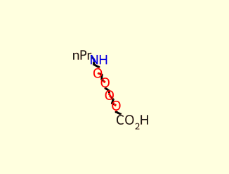 CCCNCCOCCOCCOCCOCCC(=O)O